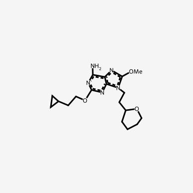 COc1nc2c(N)nc(OCCC3CC3)nc2n1CCC1CCCCO1